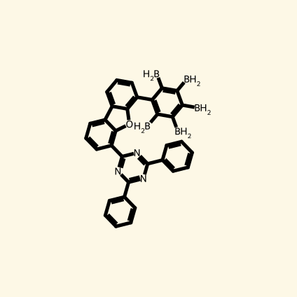 Bc1c(B)c(B)c(-c2cccc3c2oc2c(-c4nc(-c5ccccc5)nc(-c5ccccc5)n4)cccc23)c(B)c1B